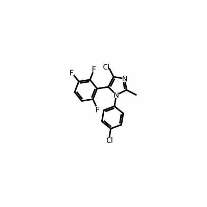 Cc1nc(Cl)c(-c2c(F)ccc(F)c2F)n1-c1ccc(Cl)cc1